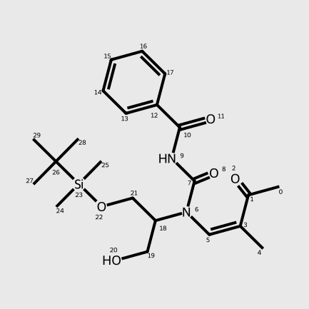 CC(=O)/C(C)=C\N(C(=O)NC(=O)c1ccccc1)C(CO)CO[Si](C)(C)C(C)(C)C